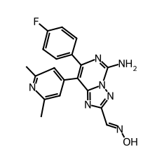 Cc1cc(-c2c(-c3ccc(F)cc3)nc(N)n3nc(/C=N/O)nc23)cc(C)n1